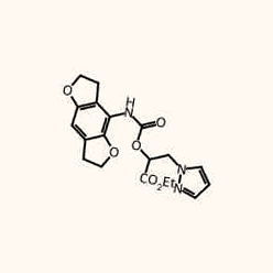 CCOC(=O)C(Cn1cccn1)OC(=O)Nc1c2c(cc3c1OCC3)OCC2